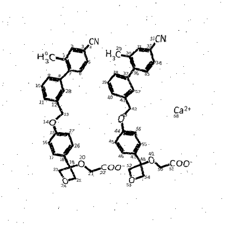 Cc1cc(C#N)ccc1-c1cccc(COc2ccc(C3(OCC(=O)[O-])COC3)cc2)c1.Cc1cc(C#N)ccc1-c1cccc(COc2ccc(C3(OCC(=O)[O-])COC3)cc2)c1.[Ca+2]